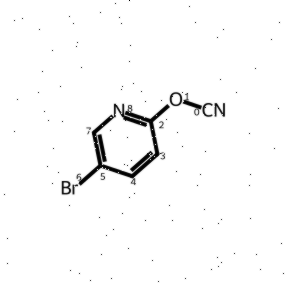 N#COc1ccc(Br)cn1